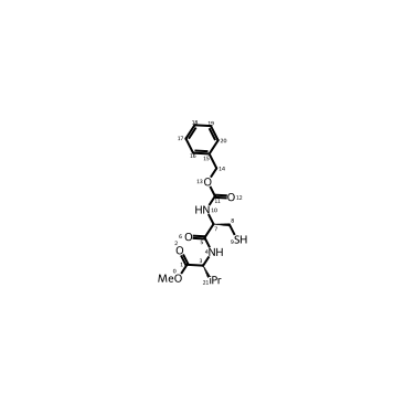 COC(=O)[C@@H](NC(=O)[C@H](CS)NC(=O)OCc1ccccc1)C(C)C